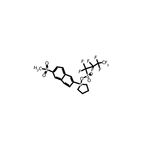 CS(=O)(=O)c1ccc2cc(S3(OS(=O)(=O)C(F)(F)C(F)(F)C(F)(F)C(F)(F)F)CCCC3)ccc2c1